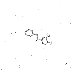 CC/C(=N\c1ccccc1)c1ccc(Cl)c(Cl)c1